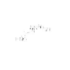 CNC(=O)OCc1cccc(-c2cnc(N3CC(=NOCC(COC)OC(C)=O)C3)nc2)c1F